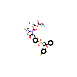 CC(=O)OC(C)OC(=O)N1C(C)OC(=O)[C@@H]1Cc1cccc(S(=O)(=O)N2CC(Oc3ccc(F)cc3)(c3ccccc3)C2)c1